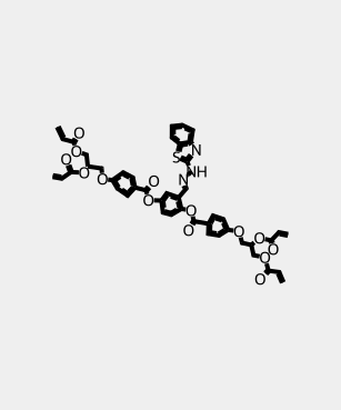 C=CC(=O)OCC(COc1ccc(C(=O)Oc2ccc(OC(=O)c3ccc(OCC(COC(=O)C=C)OC(=O)C=C)cc3)c(/C=N/Nc3nc4ccccc4s3)c2)cc1)OC(=O)C=C